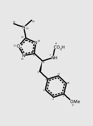 COc1ccc(C[C@H](NC(=O)O)c2noc(N(C)C)n2)cc1